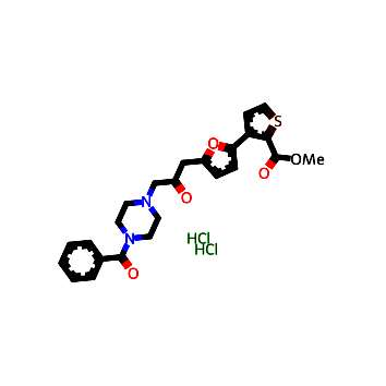 COC(=O)c1sccc1-c1ccc(CC(=O)CN2CCN(C(=O)c3ccccc3)CC2)o1.Cl.Cl